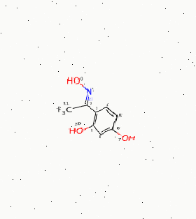 O/N=C(/c1ccc(O)cc1O)C(F)(F)F